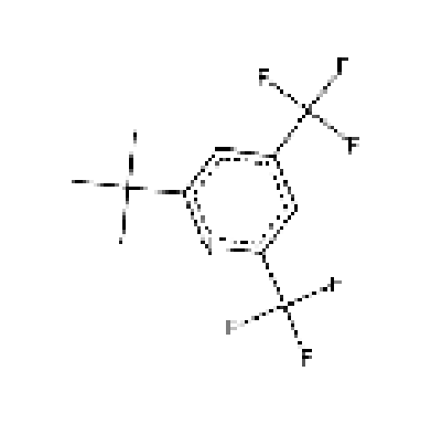 CC(C)(C)c1cc(C(F)(F)F)cc(C(F)(F)F)n1